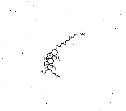 COCCOCCOCCOC1CC[C@@]2(C)C(=CC[C@H]3[C@@H]4CC[C@H]([C@H](C)CCCC(C)C)[C@@]4(C)CC[C@@H]32)C1